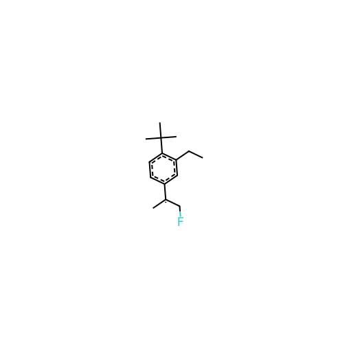 CCc1cc([C](C)CF)ccc1C(C)(C)C